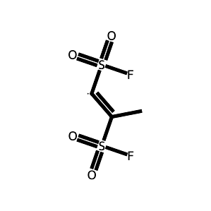 CC(=[C]S(=O)(=O)F)S(=O)(=O)F